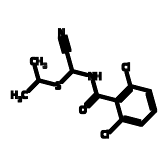 CC(C)SC(C#N)NC(=O)c1c(Cl)cccc1Cl